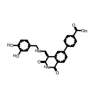 O=C1NC(=O)c2ccc(-c3ccc(C(=O)O)cc3)cc2C1=CNCc1ccc(O)c(O)c1